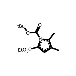 CCOC(=O)c1cc(C)c(C)n1C(=O)OC(C)(C)C